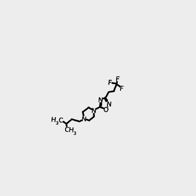 CC(C)CCN1CCN(c2nc(CCC(F)(F)F)no2)CC1